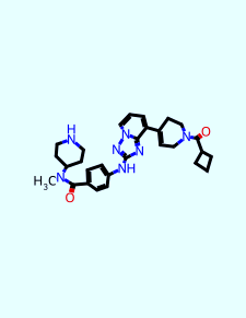 CN(C(=O)c1ccc(Nc2nc3c(C4=CCN(C(=O)C5CCC5)CC4)cccn3n2)cc1)C1CCNCC1